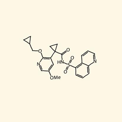 COc1cnc(OCC2CC2)c(C2(C(=O)NS(=O)(=O)c3cccc4ncccc34)CC2)c1